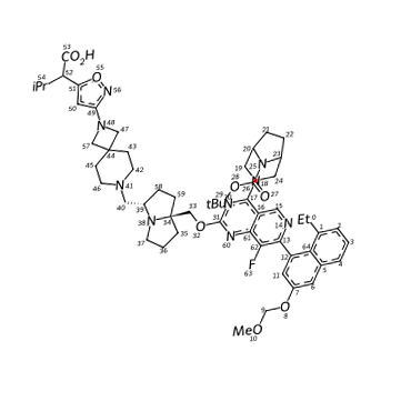 CCc1cccc2cc(OCOC)cc(-c3ncc4c(N5CC6CCC(C5)N6C(=O)OC(C)(C)C)nc(OC[C@@]56CCCN5[C@H](CN5CCC7(CC5)CN(c5cc(C(C(=O)O)C(C)C)on5)C7)CC6)nc4c3F)c12